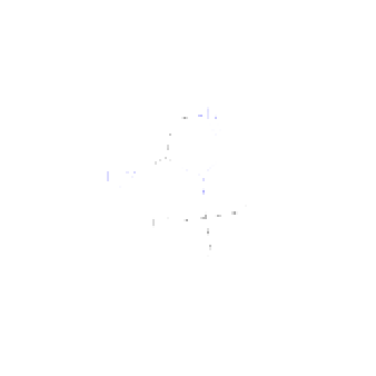 CC(C)(C)N1C=NCC1N